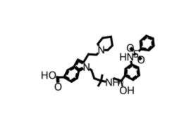 CC(C)(CCn1c(CCN2CCCCC2)cc2cc(C(=O)O)ccc21)NC[C@H](O)c1cccc(NS(=O)(=O)c2ccccc2)c1